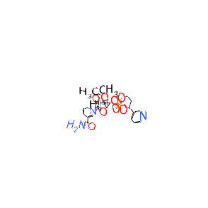 CC1(C)O[C@H]2[C@H]([n+]3cccc(C(N)=O)c3)OC3C(OP4(=O)OCCC(c5cccnc5)O4)[C@]32O1